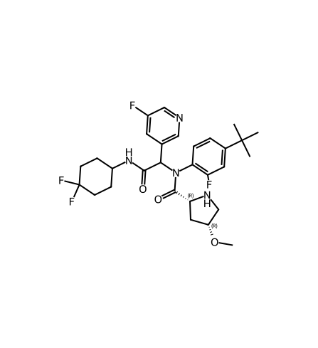 CO[C@H]1CN[C@@H](C(=O)N(c2ccc(C(C)(C)C)cc2F)C(C(=O)NC2CCC(F)(F)CC2)c2cncc(F)c2)C1